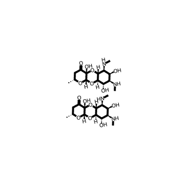 CN[C@@H]1[C@H](O)[C@H](NC)[C@H]2O[C@@]3(O)C(=O)C[C@@H](C)O[C@H]3O[C@@H]2[C@H]1O.CN[C@@H]1[C@H](O)[C@H](NC)[C@H]2O[C@@]3(O)C(=O)C[C@@H](C)O[C@H]3O[C@@H]2[C@H]1O